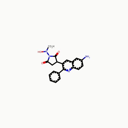 Nc1ccc2nc(-c3ccccc3)c(C3CC(=O)N(N(O)C(=O)O)C3=O)cc2c1